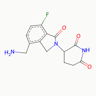 NCc1ccc(F)c2c1CN(C1CCC(=O)NC1=O)C2=O